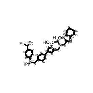 CCC(CC)c1ccc(N(Cc2ccc(-c3csc(CN(CC(=O)O)Cc4nc5ccccc5n4C)c3)cc2)C(C)C)cc1